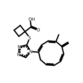 C=C1/C=C\C=C/C/C(n2cnnc2SC2(C(=O)O)CCC2)=C\C=C/1C